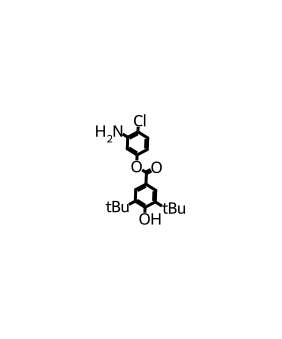 CC(C)(C)c1cc(C(=O)Oc2ccc(Cl)c(N)c2)cc(C(C)(C)C)c1O